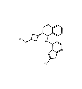 Cc1cc2c(N[C@H]3c4ccccc4OC[C@@H]3N3CC(OC(C)C)C3)ncnc2[nH]1